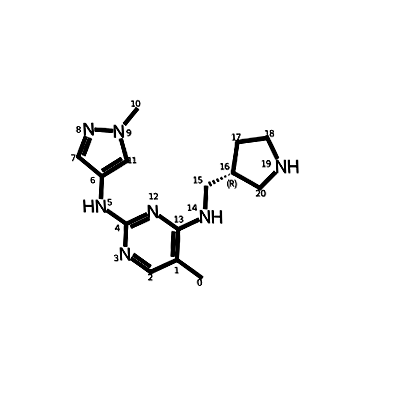 Cc1cnc(Nc2cnn(C)c2)nc1NC[C@@H]1CCNC1